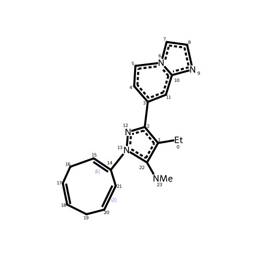 CCc1c(-c2ccn3ccnc3c2)nn(C2=C/CC=CC/C=C\2)c1NC